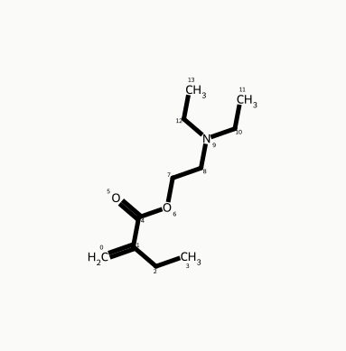 C=C(CC)C(=O)OCCN(CC)CC